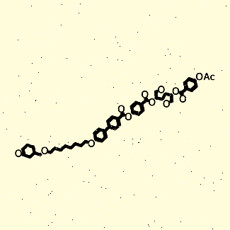 CC(=O)Oc1ccc(C(=O)OC2COC3C(OC(=O)c4ccc(OC(=O)c5ccc(-c6ccc(OCCCCCCCCOCC7CCC8OC8C7)cc6)cc5)cc4)COC23)cc1